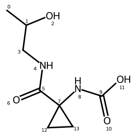 CC(O)CNC(=O)C1(NC(=O)O)CC1